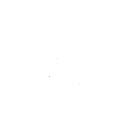 CC(C)C(=O)NC(c1ccc2c([N+](=O)[O-])ccc(O)c2n1)c1cccs1